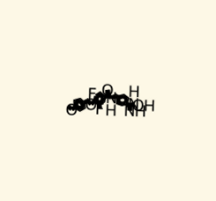 COc1ccc(COc2c(F)cc(C(=O)NCC3CCC(C(=N)NO)CC3)cc2F)cc1